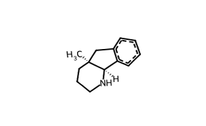 C[C@@]12CCCN[C@@H]1c1ccccc1C2